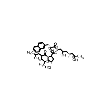 CC(C)CC(CC(C)C)C(=O)N1CCCC1C(=O)N[C@H](Cc1ccc2ccccc2c1)C(=O)NCC(O)CNC[C@@H](C)O.Cl